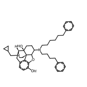 Oc1ccc2c3c1OC1C(N(CCCCCCc4ccccc4)CCCCc4ccccc4)CC[C@@]4(O)[C@@H](C2)N(CC2CC2)CC[C@]314